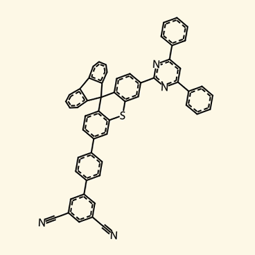 N#Cc1cc(C#N)cc(-c2ccc(-c3ccc4c(c3)Sc3cc(-c5nc(-c6ccccc6)cc(-c6ccccc6)n5)ccc3C43c4ccccc4-c4ccccc43)cc2)c1